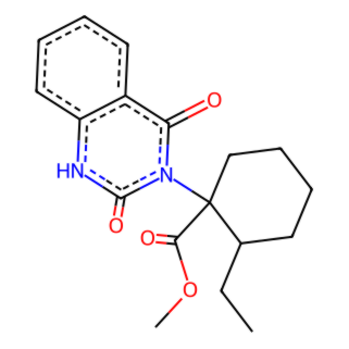 CCC1CCCCC1(C(=O)OC)n1c(=O)[nH]c2ccccc2c1=O